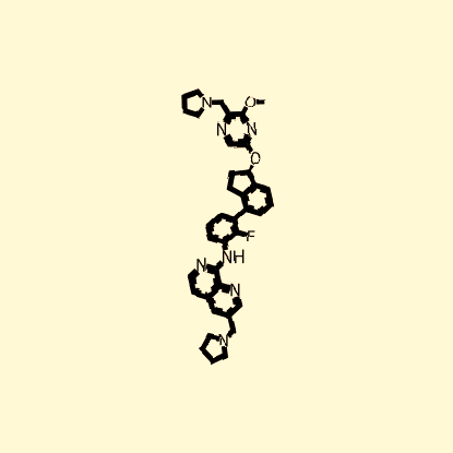 COc1nc(O[C@@H]2CCc3c(-c4cccc(Nc5nccc6cc(CN7CCCC7)cnc56)c4F)cccc32)cnc1CN1CCCC1